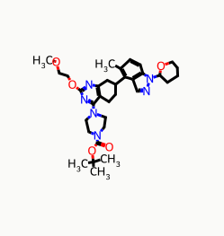 COCCOc1nc2c(c(N3CCN(C(=O)OC(C)(C)C)CC3)n1)CCC(c1c(C)ccc3c1cnn3C1CCCCO1)C2